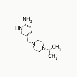 CC(C)N1CCN(CC2=CC=C(N)NC2)CC1